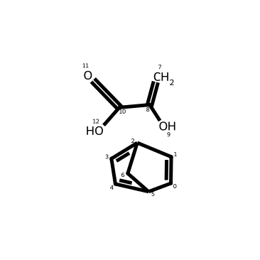 C1=CC2=CC=C1C2.C=C(O)C(=O)O